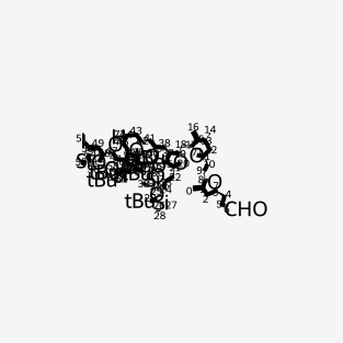 C=C1C[C@H](CCC=O)O[C@H]1CC[C@H]1C[C@@H](C)C(=C)[C@@H](C[C@@H]2O[C@H](CC(CO[Si](C)(C)C(C)(C)C)O[Si](C)(C)C(C)(C)C)[C@H](OC)[C@H]2CC(=O)C[C@H]2CC[C@@H]3O[C@@H](C(/C=C/I)O[Si](C)(C)C(C)(C)C)C(O[Si](C)(C)C(C)(C)C)C(O[Si](C)(C)C(C)(C)C)[C@H]3O2)O1